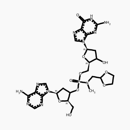 CN(CC1OCCO1)P(=O)(OC[C@H]1O[C@@H](n2cnc3c(=O)[nH]c(N)nc32)CC1O)OC1C[C@H](n2cnc3c(N)ncnc32)O[C@@H]1CO